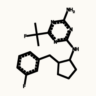 CC(C)(F)c1nc(N)nc(NC2CCCC2Cc2cccc(F)c2)n1